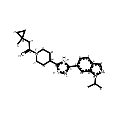 CC(C)n1ncc2ccc(-c3nnc(C4CCN(C(=O)CC5(C)CC5)CC4)[nH]3)cc21